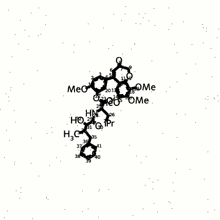 COc1ccc(C2=CC(=O)COc3c2cc(OC)c(OC)c3OC)cc1OC(=O)C(CC(C)C)NC(=O)C(O)C(C)Cc1ccccc1